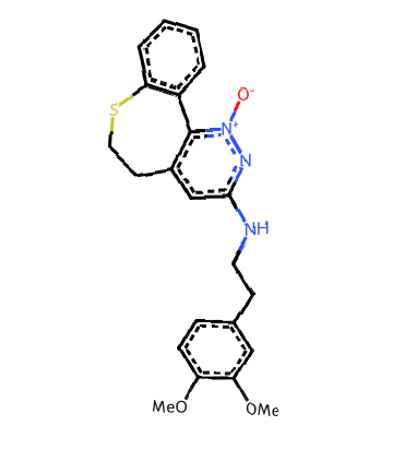 COc1ccc(CCNc2cc3c([n+]([O-])n2)-c2ccccc2SCC3)cc1OC